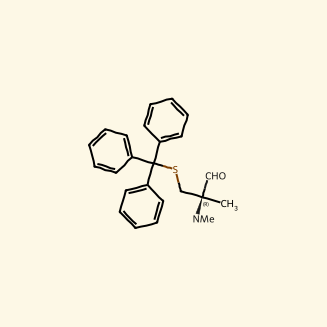 CN[C@](C)(C=O)CSC(c1ccccc1)(c1ccccc1)c1ccccc1